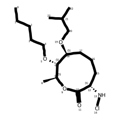 CCCCCO[C@H]1[C@H](C)OC(=O)[C@@H](NCl)CCC[C@@H]1OCC(C)C